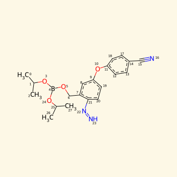 CC(C)OB(OCc1cc(Oc2ccc(C#N)cc2)ccc1N=N)OC(C)C